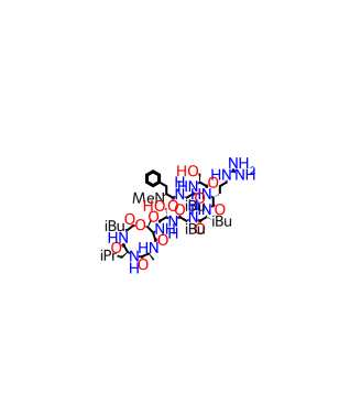 CC[C@@H](C)[C@@H](NC(=O)[C@@H](CCCNC(=N)N)NC(=O)[C@H](CO)NC(=O)[C@@H](NC(=O)[C@@H](Cc1ccccc1)NC)[C@@H](C)CC)C(=O)N[C@H](C(=O)N[C@@H](CO)C(=O)N[C@H]1C(=O)N[C@@H](C)C(=O)N[C@@H](CC(C)C)C(=O)N[C@@H]([C@@H](C)CC)C(=O)O[C@H]1C)[C@@H](C)CC